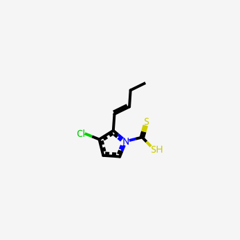 CC/C=C/c1c(Cl)ccn1C(=S)S